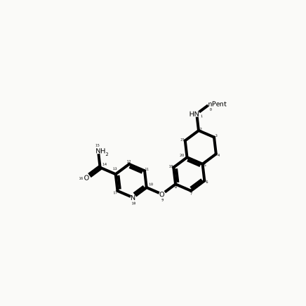 CCCCCNC1CCc2ccc(Oc3ccc(C(N)=O)cn3)cc2C1